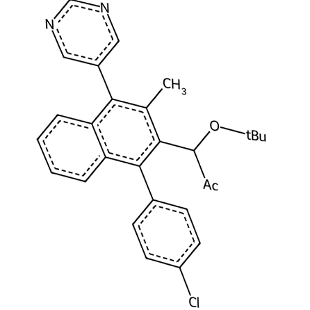 CC(=O)C(OC(C)(C)C)c1c(C)c(-c2cncnc2)c2ccccc2c1-c1ccc(Cl)cc1